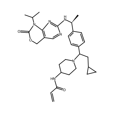 C=CC(=O)NC1CCN(C(CC2CC2)c2ccc([C@H](C)Nc3ncc4c(n3)N(C(C)C)C(=O)OC4)cc2)CC1